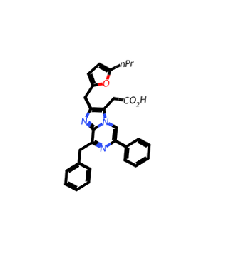 CCCc1ccc(Cc2nc3c(Cc4ccccc4)nc(-c4ccccc4)cn3c2CC(=O)O)o1